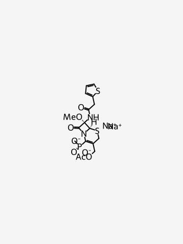 CO[C@@]1(NC(=O)Cc2cccs2)C(=O)N2C(P(=O)([O-])[O-])=C(COC(C)=O)CS[C@@H]21.[Na+].[Na+]